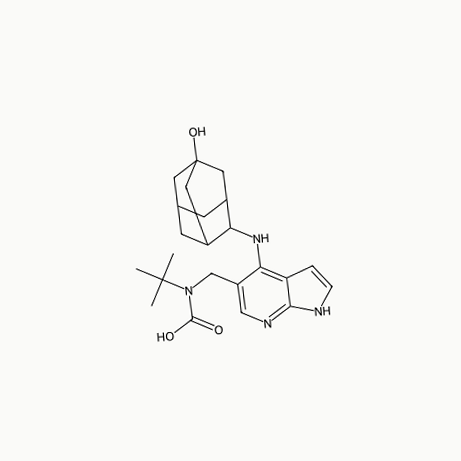 CC(C)(C)N(Cc1cnc2[nH]ccc2c1NC1C2CC3CC1CC(O)(C3)C2)C(=O)O